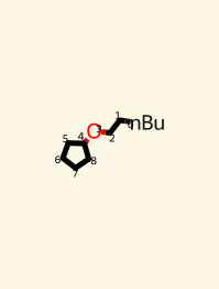 CCCCCCOC1CCCC1